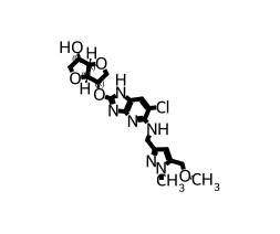 COCc1cc(CNc2nc3nc(O[C@@H]4CO[C@H]5[C@@H]4OC[C@H]5O)[nH]c3cc2Cl)nn1C